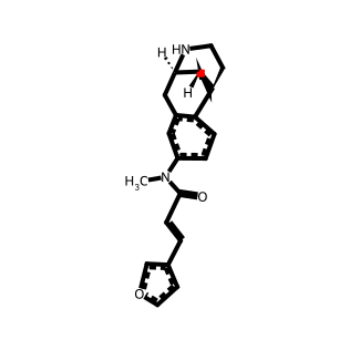 CN(C(=O)/C=C/c1ccoc1)c1ccc2c(c1)C[C@H]1NCC[C@@]23CCCC[C@@H]13